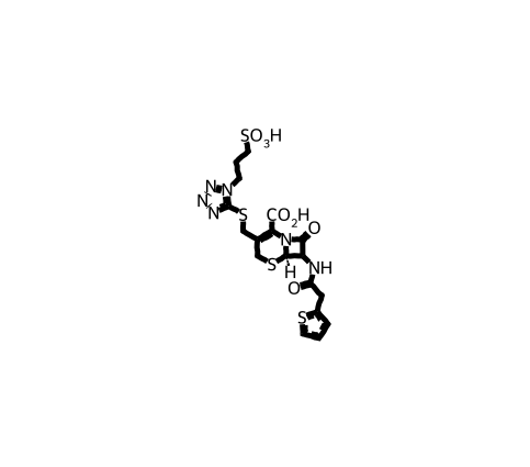 O=C(Cc1cccs1)NC1C(=O)N2C(C(=O)O)=C(CSc3nnnn3CCCS(=O)(=O)O)CS[C@H]12